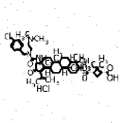 CC(C)C1=C2[C@H]3CC[C@@H]4[C@@]5(C)CC[C@H](OC(=O)[C@H]6C[C@@H](C(=O)O)C6(C)C)C(C)(C)[C@@H]5CC[C@@]4(C)[C@]3(C)CC[C@@]2(NC(=O)N(CCN(C)C)Cc2ccc(Cl)cc2)CC1=O.Cl